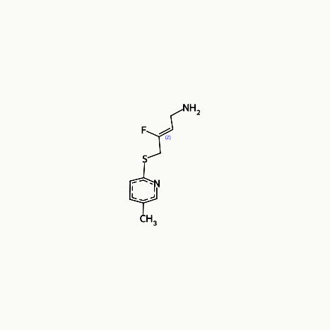 Cc1ccc(SC/C(F)=C/CN)nc1